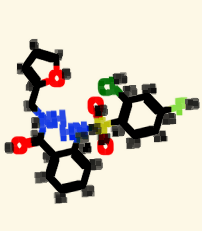 O=C(NCc1ccco1)c1ccccc1NS(=O)(=O)c1ccc(F)cc1Cl